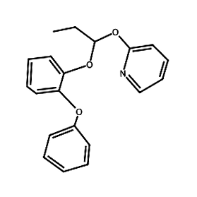 CCC(Oc1ccccn1)Oc1ccccc1Oc1ccccc1